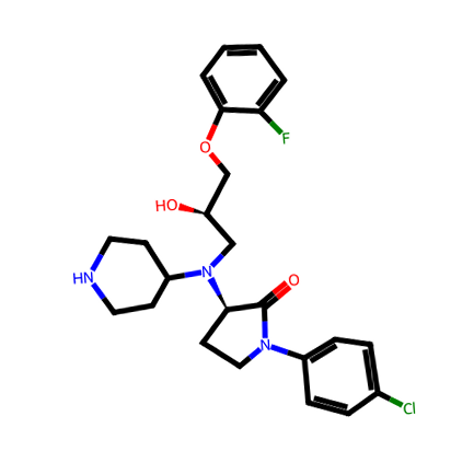 O=C1[C@H](N(C[C@@H](O)COc2ccccc2F)C2CCNCC2)CCN1c1ccc(Cl)cc1